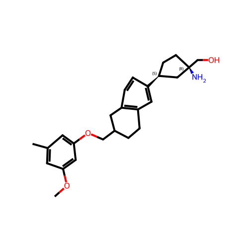 COc1cc(C)cc(OCC2CCc3cc([C@H]4CC[C@](N)(CO)C4)ccc3C2)c1